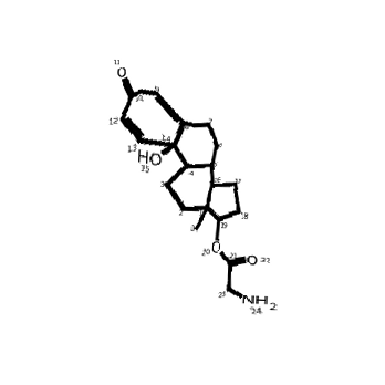 CC12CCC3C(CCC4=CC(=O)C=CC43O)C1CCC2OC(=O)CN